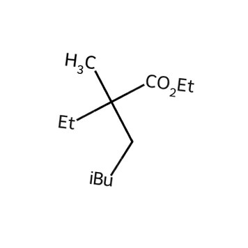 CCOC(=O)C(C)(CC)CC(C)CC